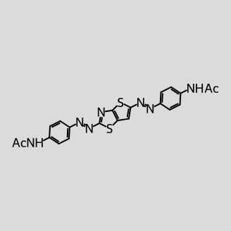 CC(=O)Nc1ccc(N=Nc2cc3sc(N=Nc4ccc(NC(C)=O)cc4)nc3s2)cc1